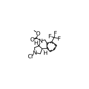 COC(=O)N1Cc2c(cccc2C(F)(F)F)[C@H]2CN(Cl)C[C@@H]21